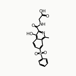 Cc1nc(C(=O)NCC(=O)O)c(O)c2ccc(S(=O)(=O)c3ccccc3)cc12